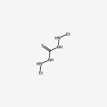 CCNNC(=S)NNCC